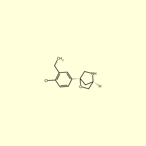 CCc1cc([C@@]23CN[C@@H](CO2)C3)ccc1Cl